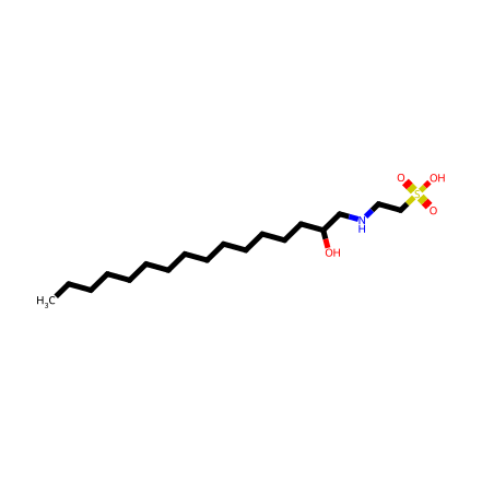 CCCCCCCCCCCCCCC(O)CNCCS(=O)(=O)O